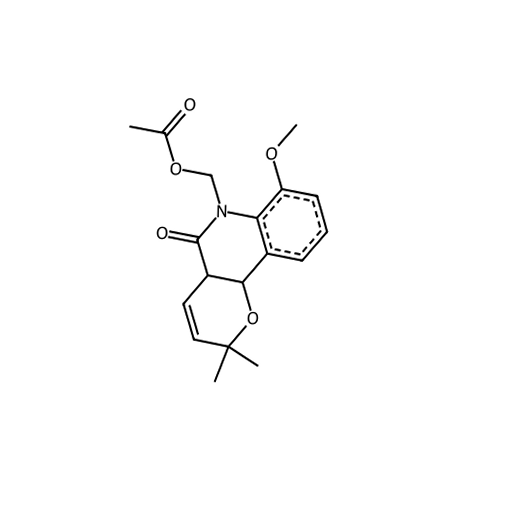 COc1cccc2c1N(COC(C)=O)C(=O)C1C=CC(C)(C)OC21